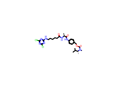 CC(C)[C@@H](C)N(C)C(=O)OCc1ccc(NC(=O)[C@H](C)NC(=O)CCCCCNc2nc(Cl)nc(Cl)n2)cc1